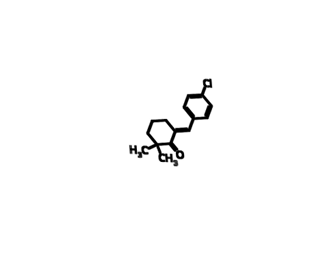 CC1(C)CCC/C(=C\c2ccc(Cl)cc2)C1=O